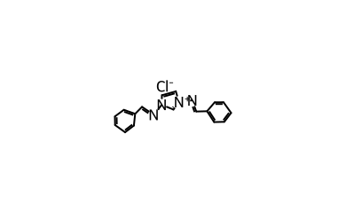 C(=Nn1cc[n+](N=Cc2ccccc2)c1)c1ccccc1.[Cl-]